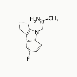 C[C@H](N)Cn1c2c(c3cc(F)ccc31)CCC2